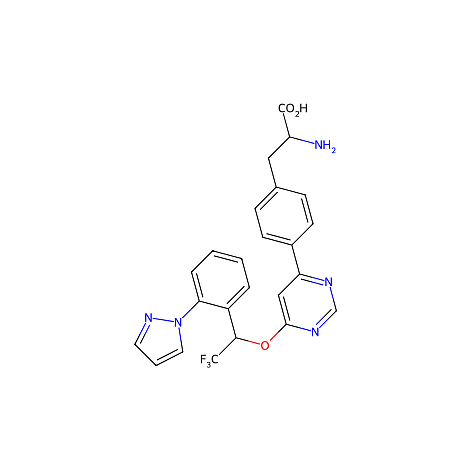 NC(Cc1ccc(-c2cc(OC(c3ccccc3-n3cccn3)C(F)(F)F)ncn2)cc1)C(=O)O